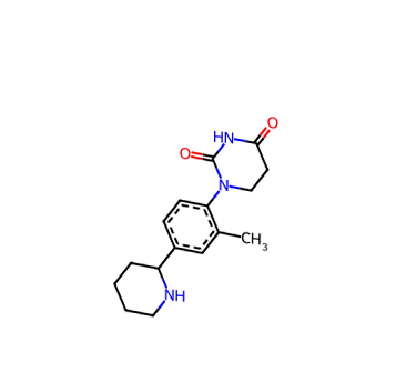 Cc1cc(C2CCCCN2)ccc1N1CCC(=O)NC1=O